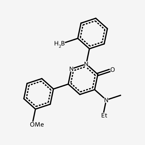 Bc1ccccc1-n1nc(-c2cccc(OC)c2)cc(N(C)CC)c1=O